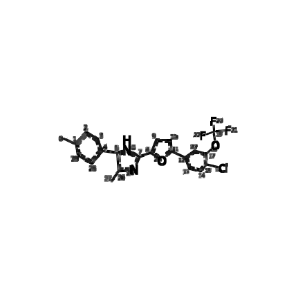 Cc1ccc(-c2[nH]c(-c3ccc(-c4ccc(Cl)c(OC(F)(F)F)c4)o3)nc2C)cc1